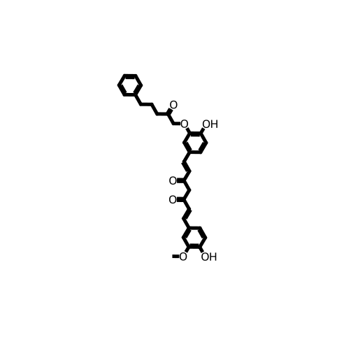 COc1cc(/C=C/C(=O)CC(=O)/C=C/c2ccc(O)c(OCC(=O)CCCc3ccccc3)c2)ccc1O